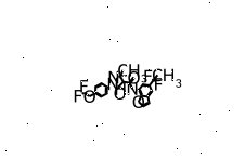 CC1=NN(c2ccc(OC(F)F)cc2)C(=O)C1C(=O)Nc1cc(C(C)(F)F)cc2ccoc12